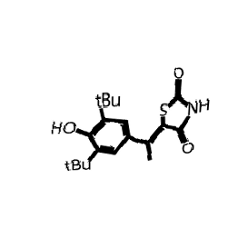 CC(=C1SC(=O)NC1=O)c1cc(C(C)(C)C)c(O)c(C(C)(C)C)c1